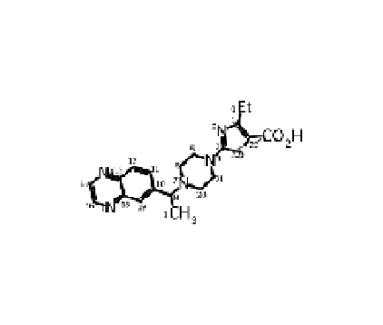 CCc1nc(N2CCN(C(C)c3ccc4nccnc4c3)CC2)sc1C(=O)O